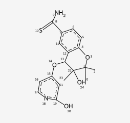 CC1(C)Oc2ccc(C(N)=S)cc2C(Oc2ccnc(O)c2)C1(C)O